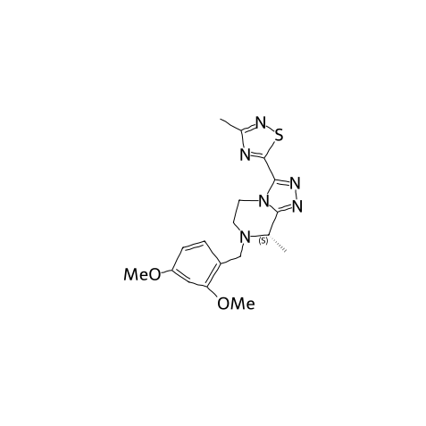 COc1ccc(CN2CCn3c(-c4nc(C)ns4)nnc3[C@@H]2C)c(OC)c1